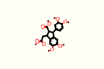 COC(=O)CC1c2cc(OC)c(OC)cc2C(c2ccc(OC)c(OC)c2)C1C(=O)OC